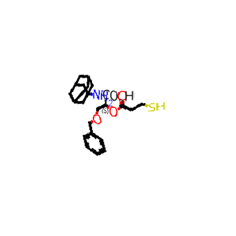 NC12CC3CC(CC(C3)C1)C2.O=C(CCS)O[C@@H](COCc1ccccc1)C(=O)O